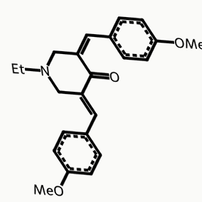 CCN1CC(=Cc2ccc(OC)cc2)C(=O)C(=Cc2ccc(OC)cc2)C1